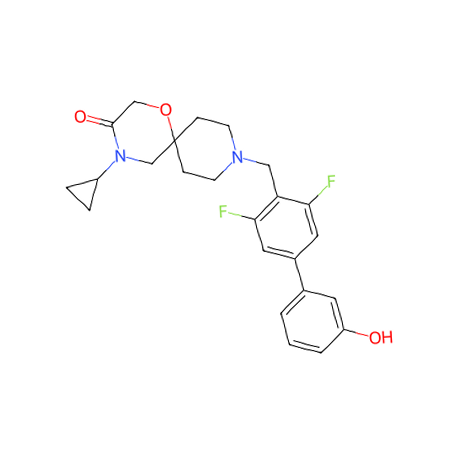 O=C1COC2(CCN(Cc3c(F)cc(-c4cccc(O)c4)cc3F)CC2)CN1C1CC1